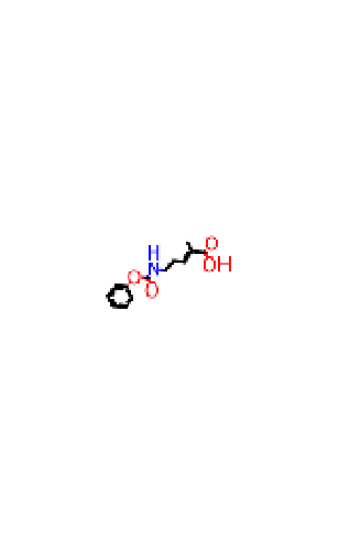 C/C(=C\CCNC(=O)Oc1ccccc1)C(=O)O